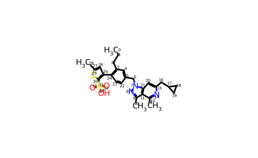 CCCc1cc(Cn2nc(C)c3c(C)nc(CC4CC4)cc32)ccc1-c1cc(C)sc1S(=O)(=O)O